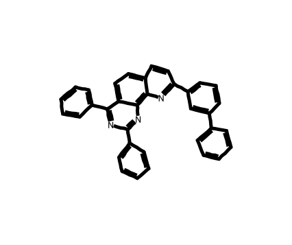 c1ccc(-c2cccc(-c3ccc4ccc5c(-c6ccccc6)nc(-c6ccccc6)nc5c4n3)c2)cc1